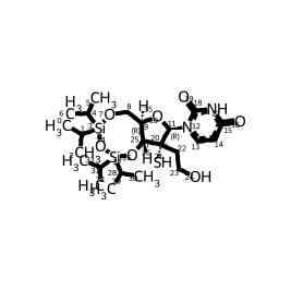 CC(C)[Si]1(C(C)C)OC[C@H]2O[C@@H](n3ccc(=O)[nH]c3=O)[C@@](S)(CCO)[C@@H]2O[Si](C(C)C)(C(C)C)O1